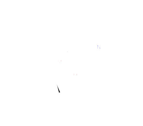 C[C@H](C(=O)OC(C)(C)CC(C)(C)N1C=CC=CC1)c1ccccc1